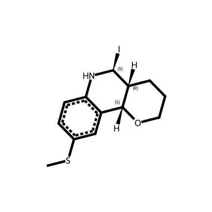 CSc1ccc2c(c1)[C@H]1OCCC[C@H]1[C@H](I)N2